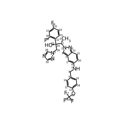 C[C@@H](n1cc2cc(NCc3ccc(OC(F)(F)F)cc3)ccc2n1)[C@](O)(Cn1cncn1)c1ccc(F)cc1F